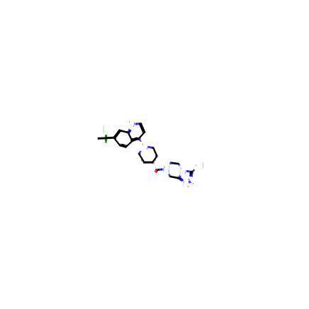 C[C@@H]1CN(c2ccnc3cc(C(C)(F)F)ccc23)CC[C@@H]1C(=O)N1CCn2c(nnc2C(F)(F)F)C1